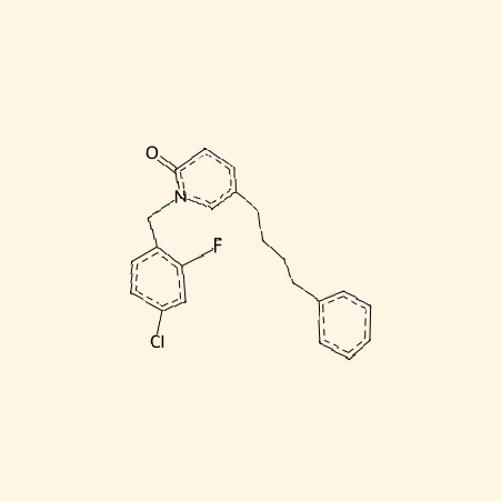 O=c1ccc(CCCCc2ccccc2)cn1Cc1ccc(Cl)cc1F